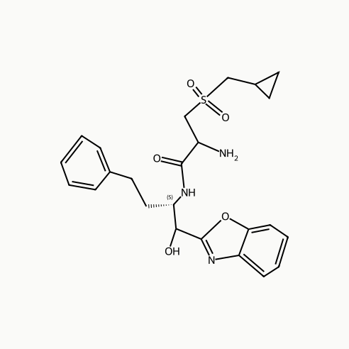 NC(CS(=O)(=O)CC1CC1)C(=O)N[C@@H](CCc1ccccc1)C(O)c1nc2ccccc2o1